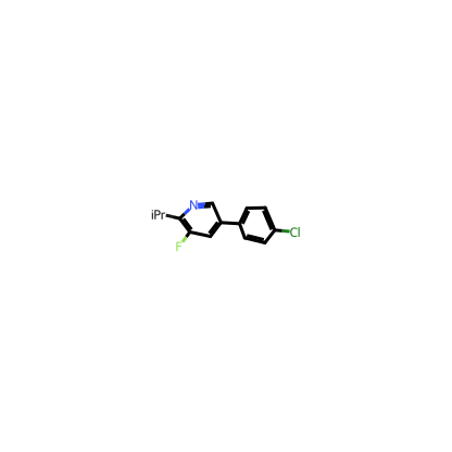 CC(C)c1ncc(-c2ccc(Cl)cc2)cc1F